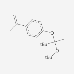 C=C(C)c1ccc(OC(C)(OC(C)(C)C)C(C)(C)C)cc1